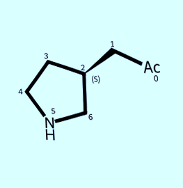 CC(=O)C[C@@H]1CCNC1